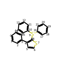 c1ccc(-c2ccsc2[S+](c2ccccc2)c2ccccc2)cc1